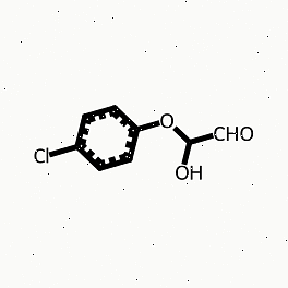 O=C[C](O)Oc1ccc(Cl)cc1